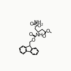 COC(=O)CC(CS(N)(=O)=O)NC(=O)OCC1c2ccccc2-c2ccccc21